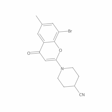 Cc1cc(Br)c2oc(N3CCC(C#N)CC3)cc(=O)c2c1